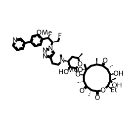 CC[C@H]1OC(=O)[C@H](C)C(=O)[C@H](C)[C@@H](O[C@@H]2O[C@H](C)C[C@H](N(C)CCc3cn([C@H](CF)[C@H](OC)c4ccc(-c5cccnc5)cc4)nn3)[C@H]2O)[C@](C)(OC)C[C@@H](C)C(=O)[C@H](C)[C@@H](O)[C@]1(C)O